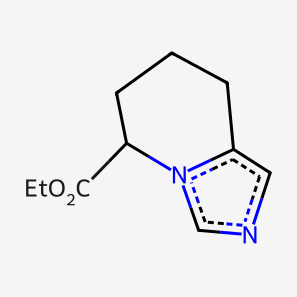 CCOC(=O)C1CCCc2cncn21